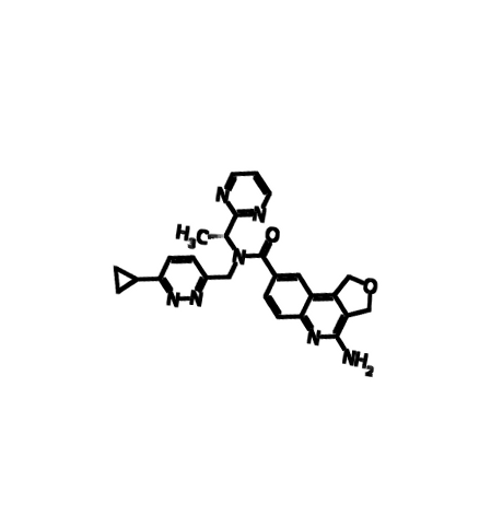 C[C@H](c1ncccn1)N(Cc1ccc(C2CC2)nn1)C(=O)c1ccc2nc(N)c3c(c2c1)COC3